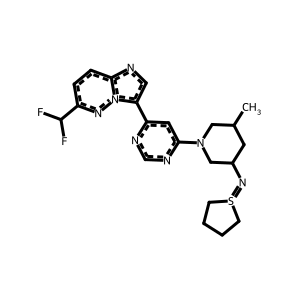 CC1CC(N=S2CCCC2)CN(c2cc(-c3cnc4ccc(C(F)F)nn34)ncn2)C1